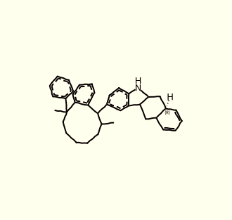 CC1CCCCCC(C)(c2ccccc2)c2ccccc2C1c1ccc2c(c1)C1CC3C=CC=C[C@@H]3CC1N2